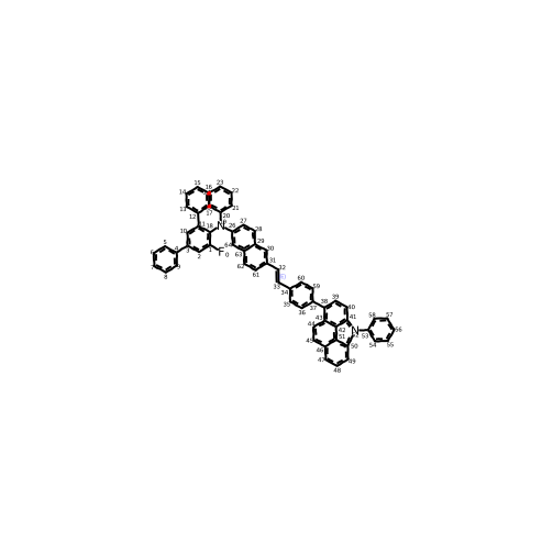 Fc1cc(-c2ccccc2)cc(-c2ccccc2)c1N(c1ccccc1)c1ccc2cc(/C=C/c3ccc(-c4ccc5c6c4ccc4cccc(c46)n5-c4ccccc4)cc3)ccc2c1